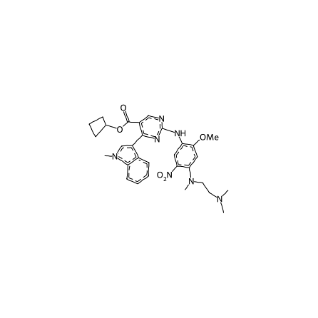 COc1cc(N(C)CCN(C)C)c([N+](=O)[O-])cc1Nc1ncc(C(=O)OC2CCC2)c(-c2cn(C)c3ccccc23)n1